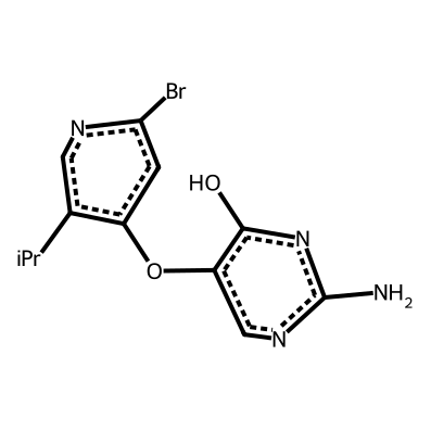 CC(C)c1cnc(Br)cc1Oc1cnc(N)nc1O